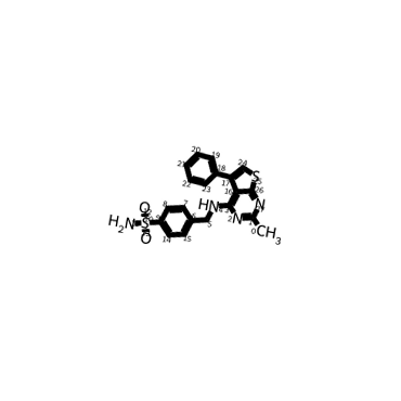 Cc1nc(NCc2ccc(S(N)(=O)=O)cc2)c2c(-c3ccccc3)csc2n1